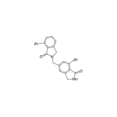 CC(C)c1cc(CN2Cc3cccc(C(C)C)c3C2=O)cc2c1C(=O)NC2